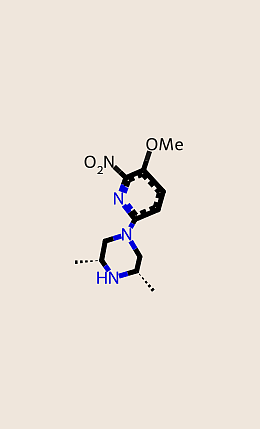 COc1ccc(N2C[C@@H](C)N[C@@H](C)C2)nc1[N+](=O)[O-]